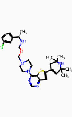 C[C@H](NCOCN1CCN(c2ncnc3cc(C4=CC(C)(C)NC(C)(C)C4)sc23)CC1)c1cccc(Cl)c1